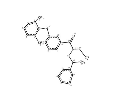 Cc1cccc(C)c1Oc1cccc(C(=O)N(CC#N)CC(C)c2ccccc2)c1